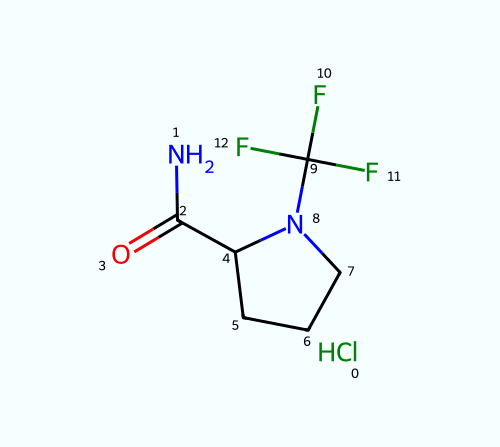 Cl.NC(=O)C1CCCN1C(F)(F)F